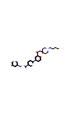 COCCCCN1CCC2(CC1)CC(=O)c1cc(-c3ccc(C(=O)NCc4cncc(F)c4)cn3)ccc1O2